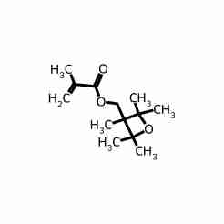 C=C(C)C(=O)OCC1(C)C(C)(C)OC1(C)C